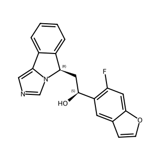 O[C@@H](C[C@@H]1c2ccccc2-c2cncn21)c1cc2ccoc2cc1F